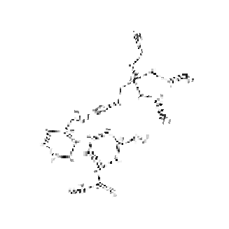 C=CC[PH](CC=C)(CC=C)CC=C.COC(=O)c1cccc(C(=O)O)c1.O=S(=O)(O)c1ccccc1